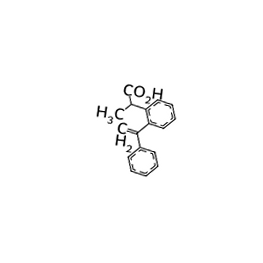 C=C(c1ccccc1)c1ccccc1C(C)C(=O)O